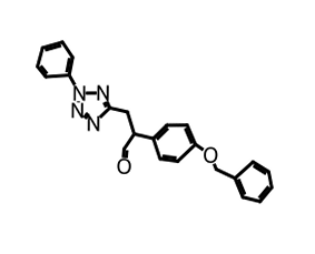 O=CC(Cc1nnn(-c2ccccc2)n1)c1ccc(OCc2ccccc2)cc1